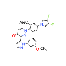 COc1cc(-n2cc(F)c(F)c2)ccc1-n1ccc(=O)c(-c2ccnn2-c2cccc(OC(F)(F)F)c2)n1